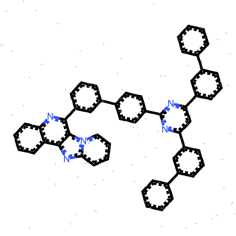 c1ccc(-c2cccc(-c3cc(-c4cccc(-c5ccccc5)c4)nc(-c4ccc(-c5cccc(-c6nc7ccccc7c7nc8ccccn8c67)c5)cc4)n3)c2)cc1